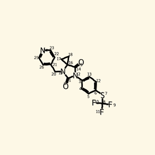 O=C1N(c2ccc(SC(F)(F)F)cc2)C(=O)C2(CC2)N1Cc1ccncc1